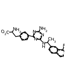 CC(Nc1nc(N)nc(-c2ccc(CC(N)C(=O)O)cc2)n1)c1ccc2cc(F)cc(F)c2c1